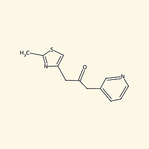 Cc1nc(CC(=O)Cc2cccnc2)cs1